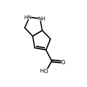 O=C(O)C1=CC2CNNC2C1